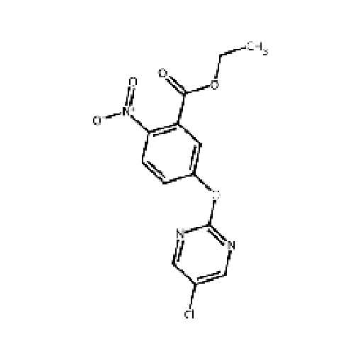 CCOC(=O)c1cc(Oc2ncc(Cl)cn2)ccc1[N+](=O)[O-]